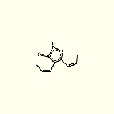 C/C=C\c1s[nH]c(=O)c1/C=C\C